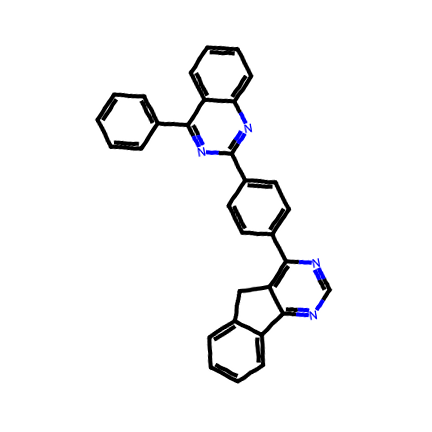 c1ccc(-c2nc(-c3ccc(-c4ncnc5c4Cc4ccccc4-5)cc3)nc3ccccc23)cc1